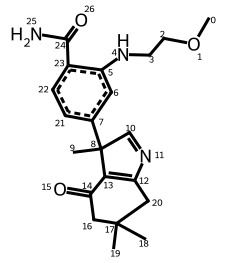 COCCNc1cc(C2(C)C=NC3=C2C(=O)CC(C)(C)C3)ccc1C(N)=O